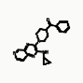 O=C(c1ccccc1)C1CCN(c2nc3cnccc3nc2NC2CC2)CC1